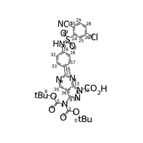 CC(C)(C)OC(=O)N(C(=O)OC(C)(C)C)c1nn(C(=O)O)c2nc(-c3ccc(NS(=O)(=O)c4cc(Cl)ccc4C#N)cc3)ncc12